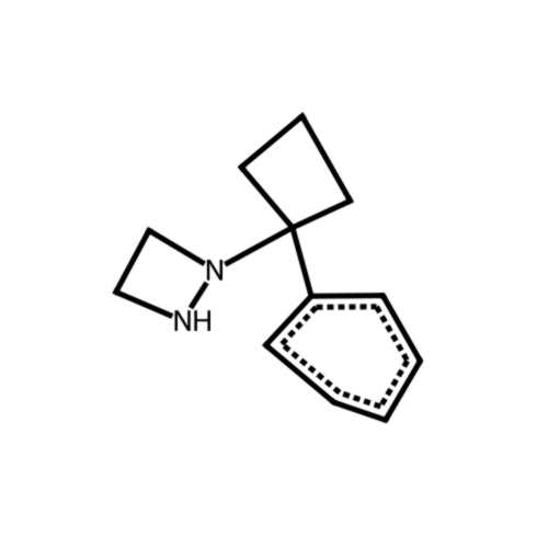 c1ccc(C2(N3CCN3)CCC2)cc1